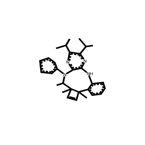 CC(C)c1nc2c(nc1C(C)C)N(c1ccccc1)C(C)C1(C)C=CC1(C)c1ccccc1N2